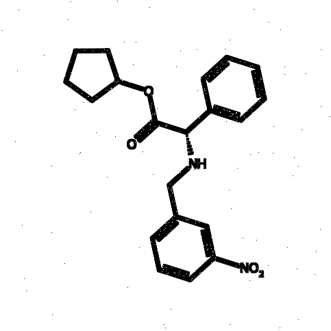 O=C(OC1CCCC1)[C@@H](NCc1cccc([N+](=O)[O-])c1)c1ccccc1